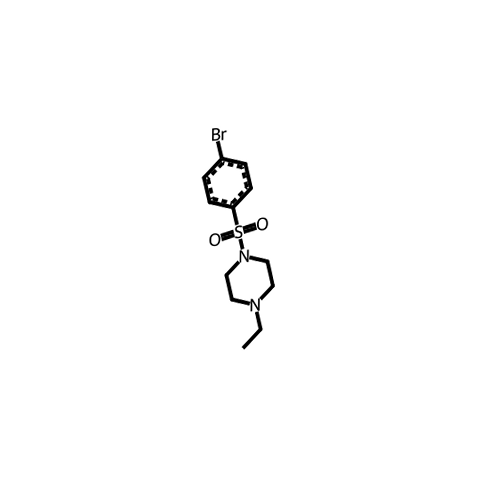 CCN1CCN(S(=O)(=O)c2ccc(Br)cc2)CC1